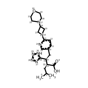 CC(C)C[C@H](C(=O)O)[C@H](Cc1ccc(N2CC(N3CCOCC3)C2)nc1)c1nnn[nH]1